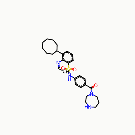 C/C=N\c1c(C2CCCCCCC2)cccc1S(=O)(=O)Nc1ccc(C(=O)N2CCCNCC2)cc1